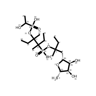 B[C@@H]1O[C@H](CC(C)(CC)OP(B)(=O)C(C)(CC)C(C)(CC)OP(=O)(O)C(C)O)[C@@H](O)[C@H]1O